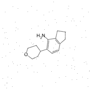 Nc1c(C2CCOCC2)ccc2c1CCC2